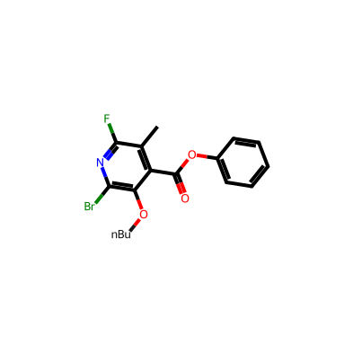 CCCCOc1c(Br)nc(F)c(C)c1C(=O)Oc1ccccc1